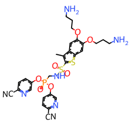 Cc1c(S(=O)(=O)NCP(=O)(Oc2ccc(C#N)nc2)Oc2ccc(C#N)nc2)sc2cc(OCCCN)c(OCCCN)cc12